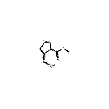 COC(=O)C1CSC/C1=N/O